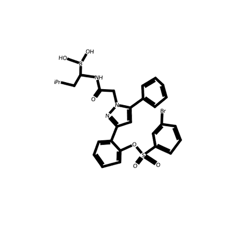 CC(C)CC(NC(=O)Cn1nc(-c2ccccc2OS(=O)(=O)c2cccc(Br)c2)cc1-c1ccccc1)B(O)O